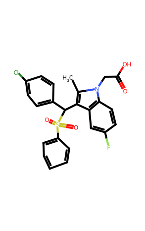 Cc1c(C(c2ccc(Cl)cc2)S(=O)(=O)c2ccccc2)c2cc(F)ccc2n1CC(=O)O